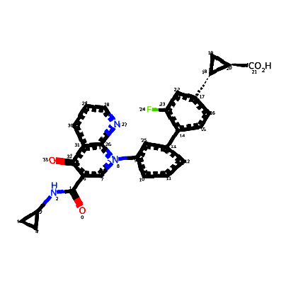 O=C(NC1CC1)c1cn(-c2cccc(-c3ccc([C@@H]4C[C@H]4C(=O)O)cc3F)c2)c2ncccc2c1=O